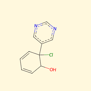 OC1C=CC=CC1(Cl)c1cncnc1